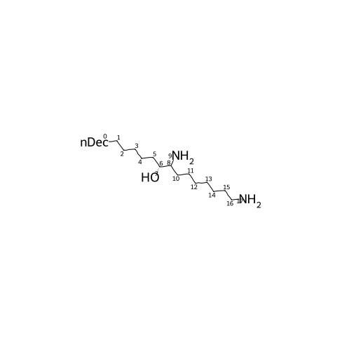 CCCCCCCCCCCCCCC[C@@H](O)C(N)CCCCCCCN